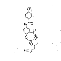 CN1C(=O)c2cc(NC(=O)c3ccc(C(F)(F)F)cc3)ccc2OC[C@@H]2O[C@H](CC(=O)O)CC[C@@H]21